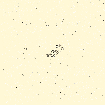 [O-2].[O-2].[O]=[Co].[Ti+4]